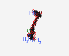 NC(=O)c1cc(N)cc(-c2cc3c(=O)cc(-c4ccc(OCCOCCOCCOCCOc5cccc6c5C(=O)C(C5CCC(=O)NC5=O)CC6=O)cc4Cl)oc3cc2N=O)c1